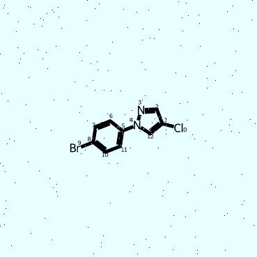 Clc1cnn(-c2ccc(Br)cc2)c1